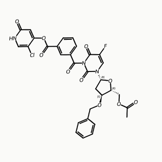 CC(=O)OC[C@H]1O[C@@H](n2cc(F)c(=O)n(C(=O)c3cccc(C(=O)Oc4cc(=O)[nH]cc4Cl)c3)c2=O)C[C@@H]1OCc1ccccc1